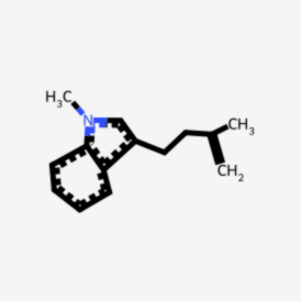 C=C(C)CCc1cn(C)c2ccccc12